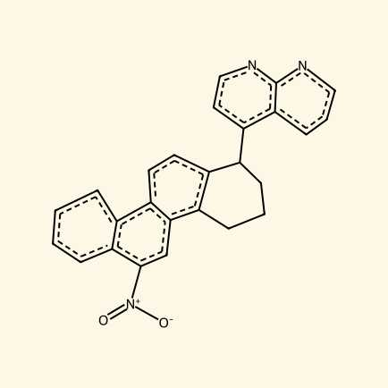 O=[N+]([O-])c1cc2c3c(ccc2c2ccccc12)C(c1ccnc2ncccc12)CCC3